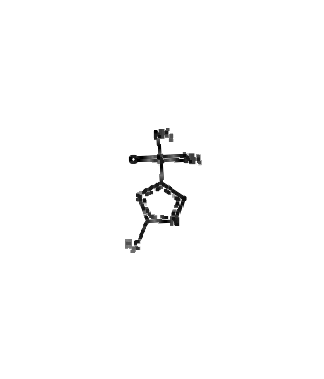 Cc1ncc(S(=N)(N)=O)s1